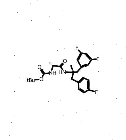 C[C@@H](NC(=O)OC(C)(C)C)C(=O)NC(C)(Cc1ccc(F)cc1)Cc1cc(F)cc(F)c1